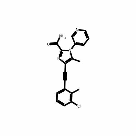 Cc1c(Cl)cccc1C#Cc1nc(C(N)=O)n(-c2cccnc2)c1C